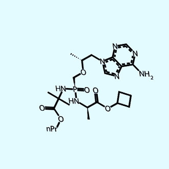 CCCOC(=O)C(C)(C)N[P@@](=O)(CO[C@H](C)Cn1cnc2c(N)ncnc21)N[C@H](C)C(=O)OC1CCC1